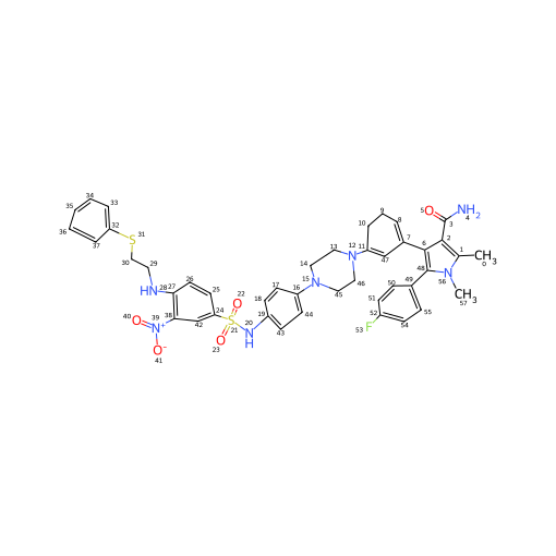 Cc1c(C(N)=O)c(C2=CCCC(N3CCN(c4ccc(NS(=O)(=O)c5ccc(NCCSc6ccccc6)c([N+](=O)[O-])c5)cc4)CC3)=C2)c(-c2ccc(F)cc2)n1C